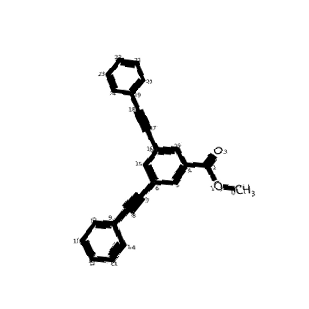 COC(=O)c1cc(C#Cc2ccccc2)cc(C#Cc2ccccc2)c1